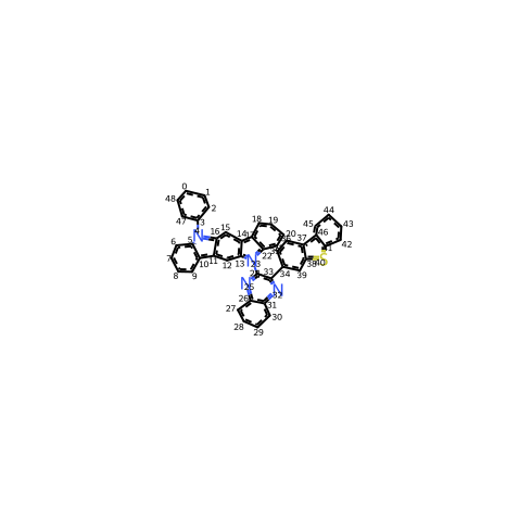 c1ccc(-n2c3ccccc3c3cc4c(cc32)c2ccccc2n4-c2nc3ccccc3nc2-c2ccc3c(c2)sc2ccccc23)cc1